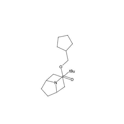 CC(C)(C)C1CC2CCC(C1)N2C(=O)OCC1CCCC1